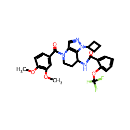 COc1ccc(C(=O)N2CCC(NC(=O)c3ccccc3OC(F)(F)F)c3c2cnn3C2CCC2)cc1OC